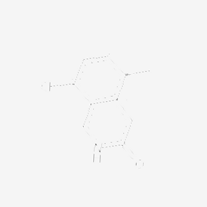 Cc1ccc(Cl)c2c[nH]c(=O)cc12